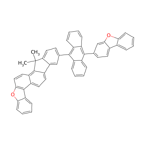 CC1(C)c2ccc(-c3c4ccccc4c(-c4ccc5c(c4)oc4ccccc45)c4ccccc34)cc2-c2ccc3c(ccc4oc5ccccc5c43)c21